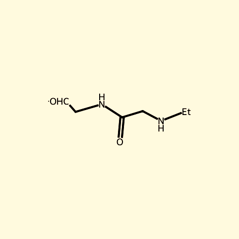 CCNCC(=O)NC[C]=O